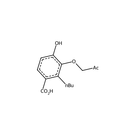 CCCCc1c(C(=O)O)ccc(O)c1OCC(C)=O